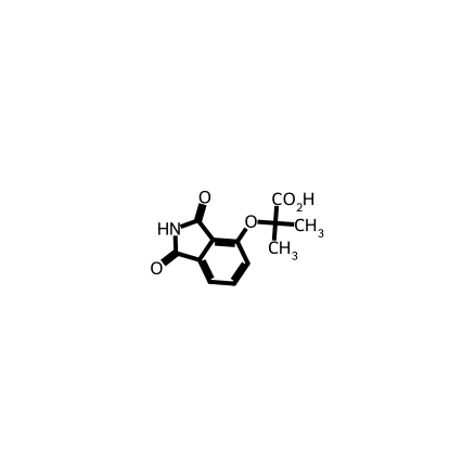 CC(C)(Oc1cccc2c1C(=O)NC2=O)C(=O)O